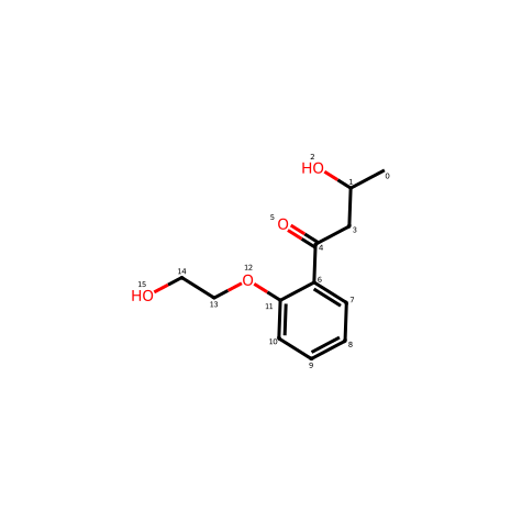 CC(O)CC(=O)c1ccccc1OCCO